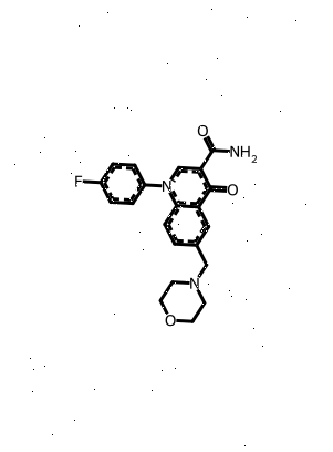 NC(=O)c1cn(-c2ccc(F)cc2)c2ccc(CN3CCOCC3)cc2c1=O